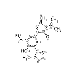 C=C1SC(c2cc(OCC)c(O)c(-c3sccc3C)c2)C(=O)N1N(C)C